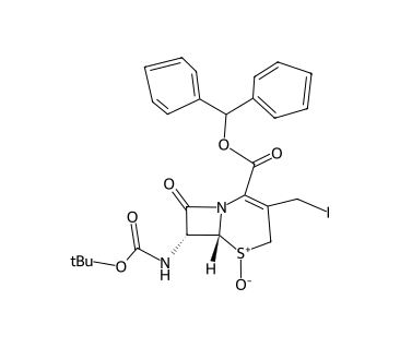 CC(C)(C)OC(=O)N[C@@H]1C(=O)N2C(C(=O)OC(c3ccccc3)c3ccccc3)=C(CI)C[S+]([O-])[C@H]12